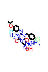 CC(C)Oc1ccc(/N=c2\n(N)c(=O)n(C/C(N=NN)=N/O)c(=O)n2Cc2ccc(Cl)cc2)cc1F